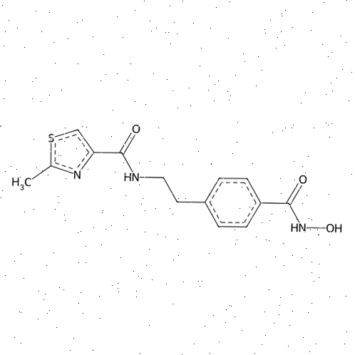 Cc1nc(C(=O)NCCc2ccc(C(=O)NO)cc2)cs1